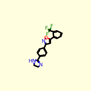 FC(F)(F)c1ccccc1-c1cc(-c2ccc(C3=NCCN3)cc2)no1